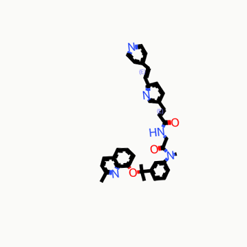 Cc1ccc2cccc(OC(C)(C)c3cccc(N(C)C(=O)CNC(=O)/C=C/c4ccc(/C=C/c5ccncc5)nc4)c3)c2n1